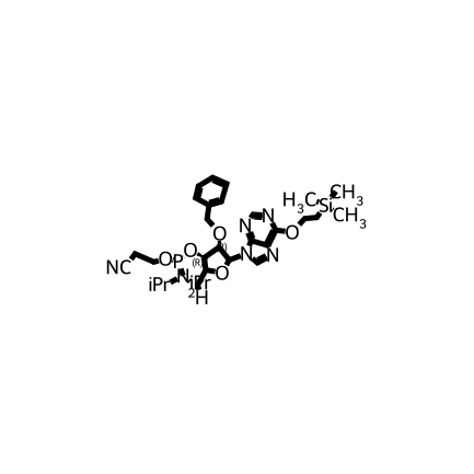 [2H]CC1OC(n2cnc3c(OCC[Si](C)(C)C)ncnc32)[C@H](OCc2ccccc2)[C@@H]1OP(OCCC#N)N(C(C)C)C(C)C